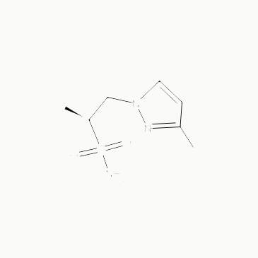 Cc1ccn([C@@H](C)[C@H](C)S(N)(=O)=O)n1